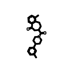 Cc1cccc(C2CCN(C(=O)C3CCc4c(C)cccc4C(=O)C3)CC2)c1